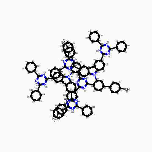 N#Cc1ccc(-c2ccc(-c3nc(-c4ccc(-c5ccc(C#N)cc5)cc4-n4c5ccc(-c6nc(-c7ccccc7)nc(-c7ccccc7)n6)cc5c5cc(-c6nc(-c7ccccc7)nc(-c7ccccc7)n6)ccc54)nc(-c4ccc(-c5ccc(C#N)cc5)cc4-n4c5ccc(-c6nc(-c7ccccc7)nc(-c7ccccc7)n6)cc5c5cc(-c6nc(-c7ccccc7)nc(-c7ccccc7)n6)ccc54)n3)cc2)cc1